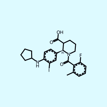 Cc1cccc(F)c1C(=O)N1CCCC(C(=O)O)[C@@H]1c1ccc(NC2CCCC2)c(I)c1